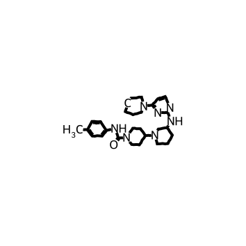 Cc1ccc(NC(=O)N2CCC(N3CCCC(Nc4nccc(N5CCCCCC5)n4)C3)CC2)cc1